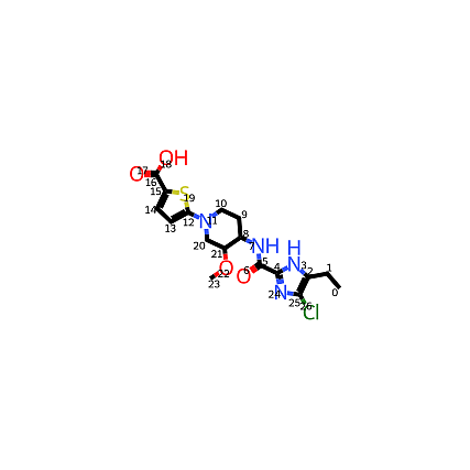 CCc1[nH]c(C(=O)NC2CCN(c3ccc(C(=O)O)s3)CC2OC)nc1Cl